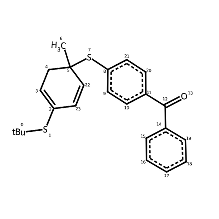 CC(C)(C)SC1=CCC(C)(Sc2ccc(C(=O)c3ccccc3)cc2)C=C1